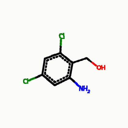 Nc1cc(Cl)cc(Cl)c1CO